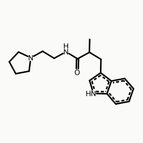 CC(Cc1c[nH]c2ccccc12)C(=O)NCCN1CCCC1